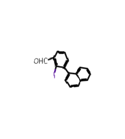 O=Cc1cccc(-c2cccc3ccccc23)c1I